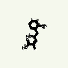 CC(=CC(O)Cc1ccccc1O)C(=O)O